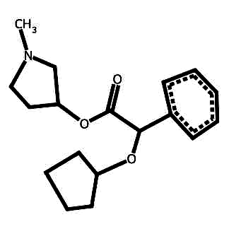 CN1CCC(OC(=O)C(OC2CCCC2)c2ccccc2)C1